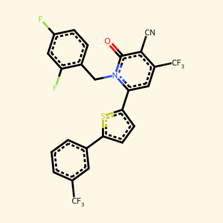 N#Cc1c(C(F)(F)F)cc(-c2ccc(-c3cccc(C(F)(F)F)c3)s2)n(Cc2ccc(F)cc2F)c1=O